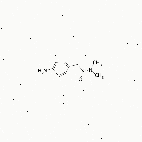 CN(C)[S+]([O-])Cc1ccc(N)cc1